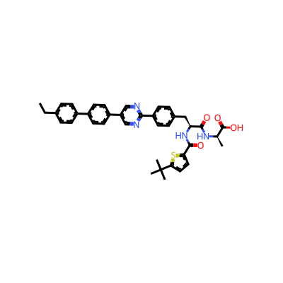 CCc1ccc(-c2ccc(-c3cnc(-c4ccc(C[C@H](NC(=O)c5ccc(C(C)(C)C)s5)C(=O)N[C@H](C)C(=O)O)cc4)nc3)cc2)cc1